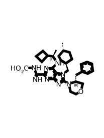 C[C@@H](Nc1nc(C(=N)NC(=O)O)nc2nc(N3CCOC[C@H]3Cc3ccccc3)n(C[C@H]3CC[C@H](C)CC3)c12)C1CCC1